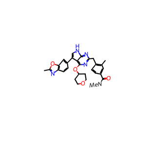 CNC(=O)c1ccc(Cc2nc(OC3CCOCC3)c3c(-c4ccc5nc(C)oc5c4)c[nH]c3n2)c(C)c1